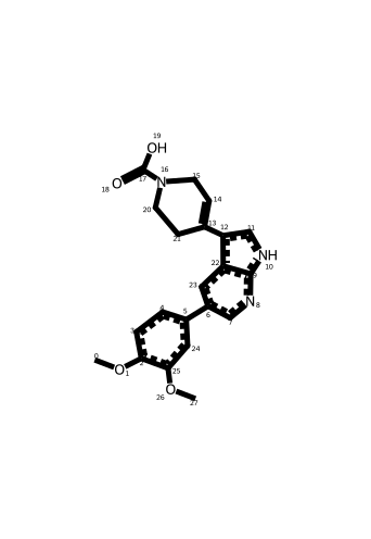 COc1ccc(-c2cnc3[nH]cc(C4=CCN(C(=O)O)CC4)c3c2)cc1OC